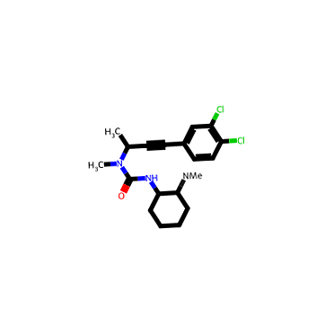 CNC1CCCCC1NC(=O)N(C)C(C)C#Cc1ccc(Cl)c(Cl)c1